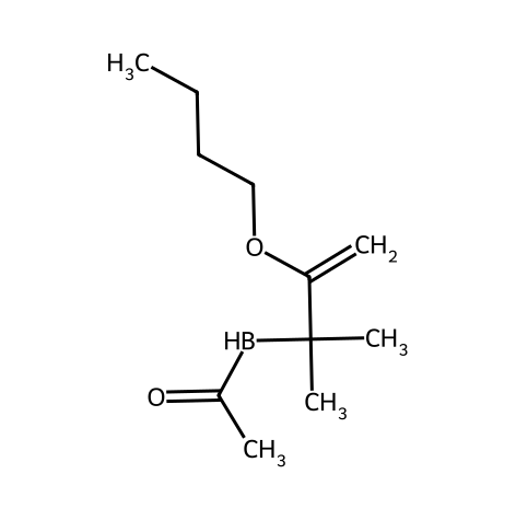 C=C(OCCCC)C(C)(C)BC(C)=O